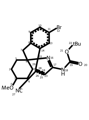 COC1CCC2(CC1)Cc1ccc(Br)cc1C21N=C(NC(=O)OC(C)(C)C)c2ccc(C#N)cc21